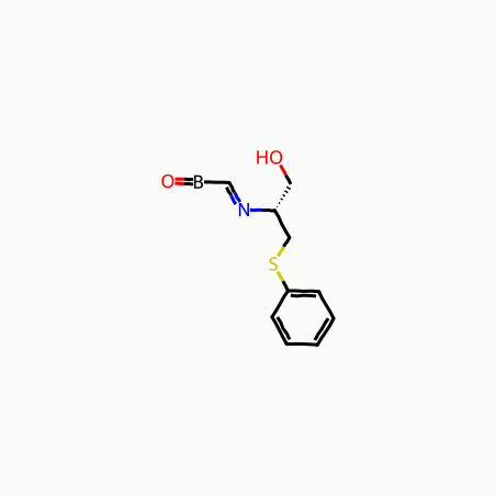 O=B/C=N/[C@H](CO)CSc1ccccc1